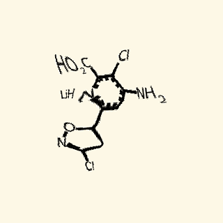 Nc1cc(C2CC(Cl)=NO2)nc(C(=O)O)c1Cl.[LiH]